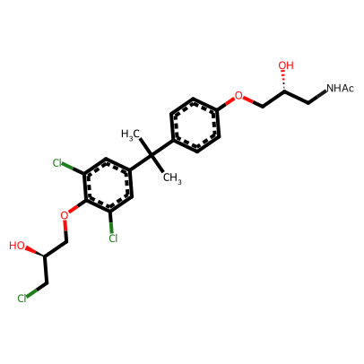 CC(=O)NC[C@@H](O)COc1ccc(C(C)(C)c2cc(Cl)c(OC[C@H](O)CCl)c(Cl)c2)cc1